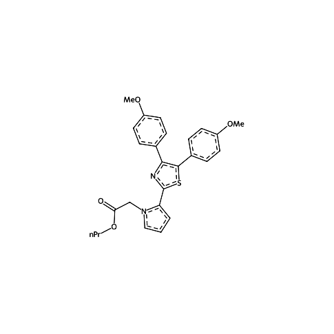 CCCOC(=O)Cn1cccc1-c1nc(-c2ccc(OC)cc2)c(-c2ccc(OC)cc2)s1